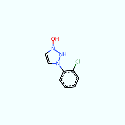 ON1C=CN(c2ccccc2Cl)N1